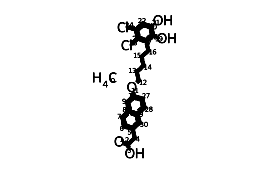 C.O=C(O)Cc1ccc2cc(OCCCCCc3c(O)c(O)cc(Cl)c3Cl)ccc2c1